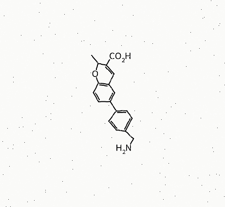 CC1Oc2ccc(-c3ccc(CN)cc3)cc2C=C1C(=O)O